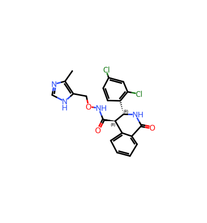 Cc1nc[nH]c1CONC(=O)[C@@H]1c2ccccc2C(=O)N[C@H]1c1ccc(Cl)cc1Cl